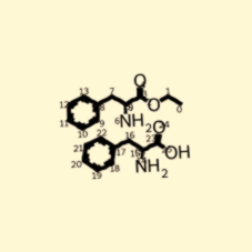 CCOC(=O)[C@@H](N)Cc1ccccc1.N[C@@H](Cc1ccccc1)C(=O)O